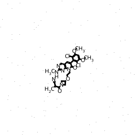 C=C(C#N)C(=O)N1CC(OCCn2c(=O)c(-c3c(Cl)c(OC)cc(OC)c3Cl)cc3cnc(NC)nc32)C1